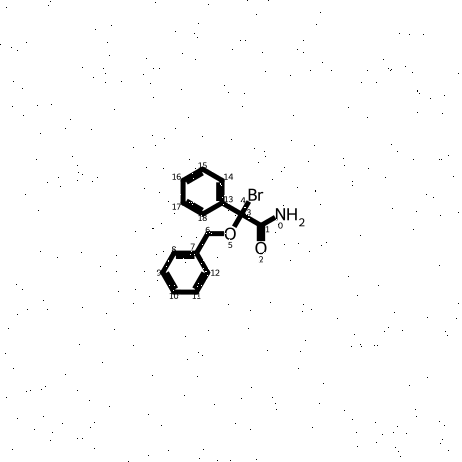 NC(=O)C(Br)(OCc1ccccc1)c1ccccc1